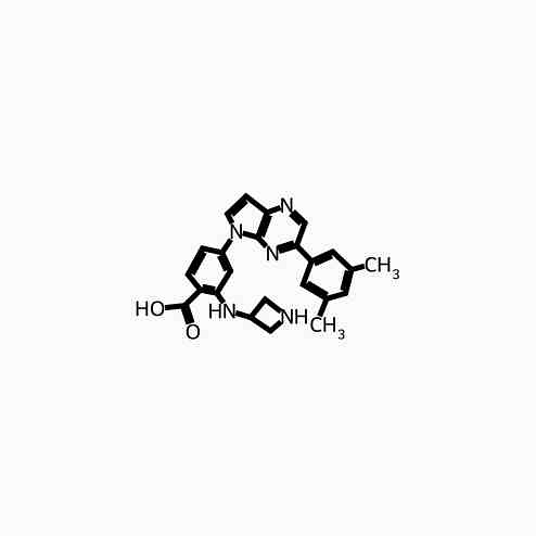 Cc1cc(C)cc(-c2cnc3ccn(-c4ccc(C(=O)O)c(NC5CNC5)c4)c3n2)c1